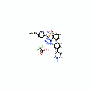 COc1ccc(Cn2nnnc2-c2c(-c3ccc(C4CCNCC4)cc3)cccc2S(N)(=O)=O)cc1.O=C(O)C(F)(F)F